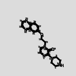 O=c1c(N2CCNCC2)nccn1CCOc1ccc2nccnc2c1